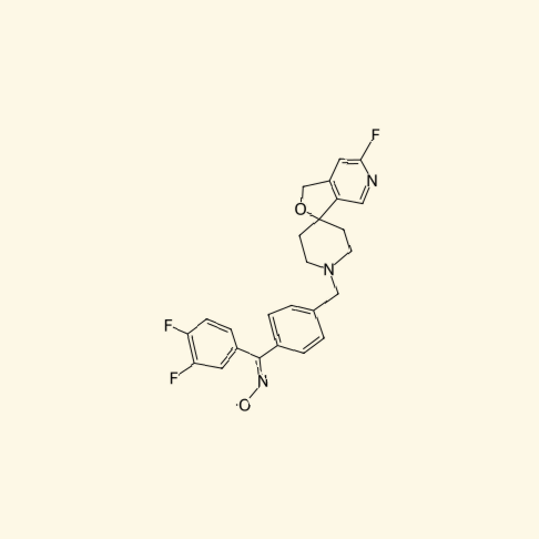 [O]/N=C(/c1ccc(CN2CCC3(CC2)OCc2cc(F)ncc23)cc1)c1ccc(F)c(F)c1